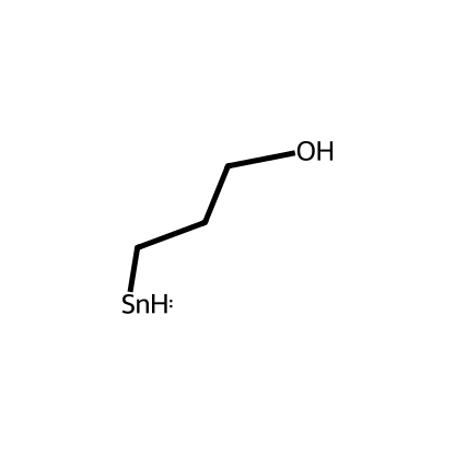 OCC[CH2][SnH]